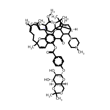 COC(=O)/C(C)=C\CC12OC(C)(C)[C@H]3C[C@H](C1=O)C(N1CCN(C)CC1)C1C(=O)c4c(OC(=O)c5ccc(O[C@@H]6O[C@@H]7COC(C)(C)O[C@H]7[C@H](O)[C@H]6O)cc5)c5c(c(CC=C(C)C)c4OC132)OC(C)(CCC=C(C)C)C=C5